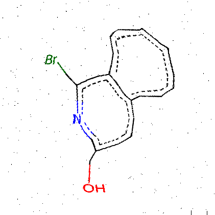 Oc1cc2ccccc2c(Br)n1